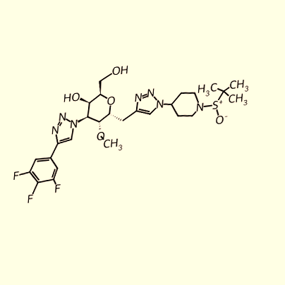 CO[C@@H]1[C@@H](n2cc(-c3cc(F)c(F)c(F)c3)nn2)[C@@H](O)[C@@H](CO)O[C@@H]1Cc1cn(C2CCN([S+]([O-])C(C)(C)C)CC2)nn1